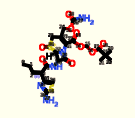 CC/C=C(\C(=O)N[C@@H]1C(=O)N2C(C(=O)OCOC(=O)C(C)(C)C)=C(COC(N)=O)C[S+]([O-])[C@H]12)c1csc(N)n1